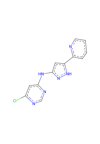 Clc1cc(Nc2cc(-c3ccccn3)[nH]n2)ncn1